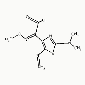 C=Nc1sc(N(C)C)nc1C(=NOC)C(=O)Cl